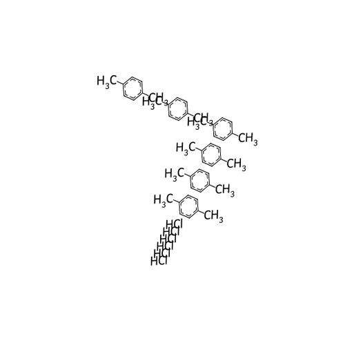 Cc1ccc(C)cc1.Cc1ccc(C)cc1.Cc1ccc(C)cc1.Cc1ccc(C)cc1.Cc1ccc(C)cc1.Cc1ccc(C)cc1.Cl.Cl.Cl.Cl.Cl.Cl